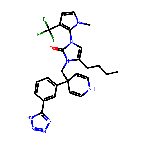 CCCCc1cn(-c2c(C(F)(F)F)ccn2C)c(=O)n1CC1(c2cccc(-c3nnn[nH]3)c2)C=CNC=C1